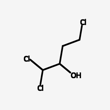 OC(CCCl)C(Cl)Cl